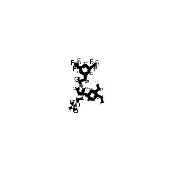 CCc1ccc([C@@]2(CCOS(C)(=O)=O)CCN(C(=O)Cc3cc(C(F)(F)F)cc(C(F)(F)F)c3)C2)cc1CC